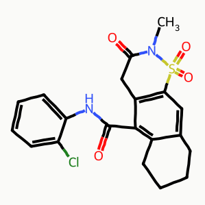 CN1C(=O)Cc2c(cc3c(c2C(=O)Nc2ccccc2Cl)CCCC3)S1(=O)=O